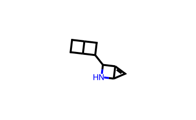 C1=C2C1NC2C1CC2CCC21